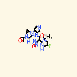 CN1CC(F)CNC1C(C(=O)Nc1cnccc1N1CCN(C2COC2)C2CC21)C(N)N=O